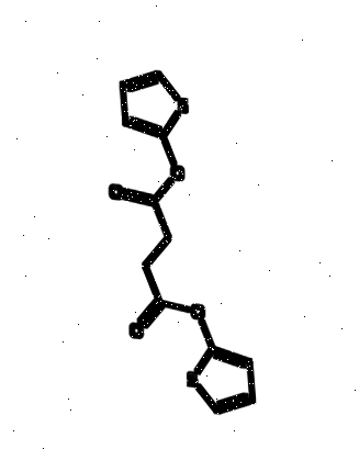 O=C(CCC(=O)Oc1cccs1)Oc1cccs1